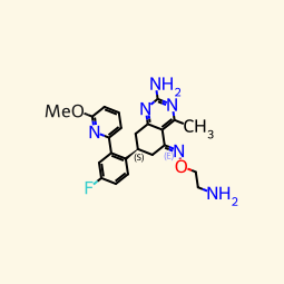 COc1cccc(-c2cc(F)ccc2[C@@H]2C/C(=N\OCCN)c3c(C)nc(N)nc3C2)n1